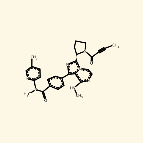 CC#CC(=O)N1CCC[C@H]1c1nc(-c2ccc(C(=O)N(C)c3ccc(C)cn3)cc2)c2c(NC)nccn12